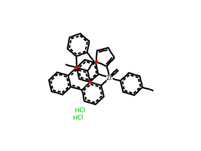 Cl.Cl.[CH2]=[Zr]([C]1=CC=CC1)([c]1ccc(C)cc1)([c]1ccc(C)cc1)[c]1cccc2c1c1c(c3ccccc32)-c2ccccc2C1